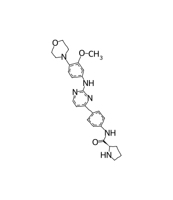 COc1cc(Nc2nccc(-c3ccc(NC(=O)[C@H]4CCCN4)cc3)n2)ccc1N1CCOCC1